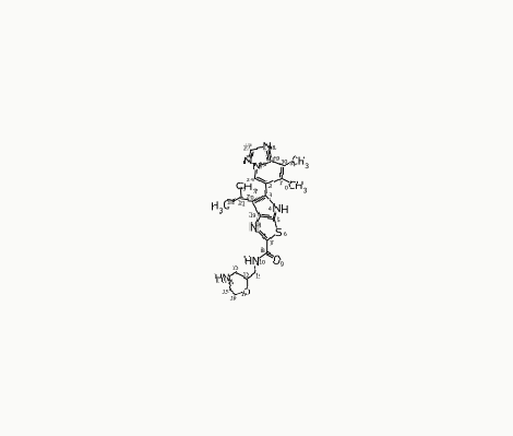 Cc1c(-c2[nH]c3sc(C(=O)NCC4CNCCO4)nc3c2C(C)C)cn2ncnc2c1C